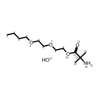 CCCCOCCOCCOC(=O)C(C)(C)N.Cl